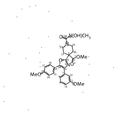 COC(=O)C1(c2nc(-c3cccc(OC)c3)c(-c3ccc(OC)cc3)o2)CCN(C(=O)N(C)O)CC1